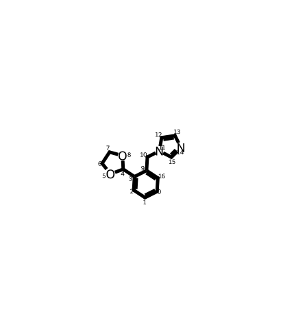 c1ccc(C2OCCO2)c(Cn2ccnc2)c1